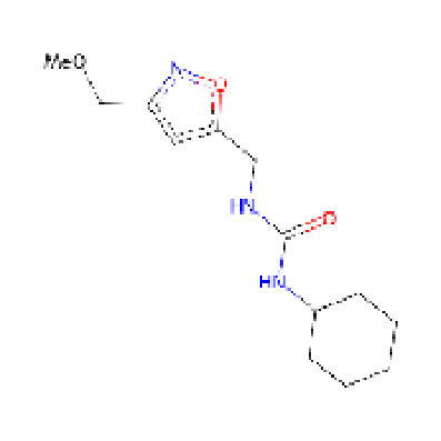 COCc1cc(CNC(=O)NC2CCCCC2)on1